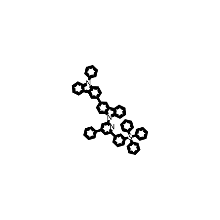 c1ccc(-c2cc(-c3cccc(S(c4ccccc4)(c4ccccc4)c4ccccc4)c3)nc(-n3c4ccccc4c4cc(-c5ccc6c(c5)c5ccccc5n6-c5ccccc5)ccc43)c2)cc1